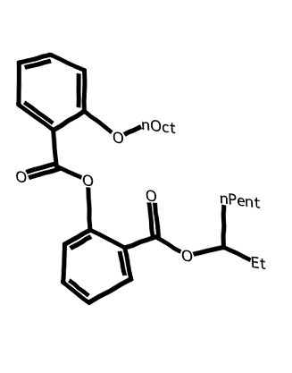 CCCCCCCCOc1ccccc1C(=O)Oc1ccccc1C(=O)OC(CC)CCCCC